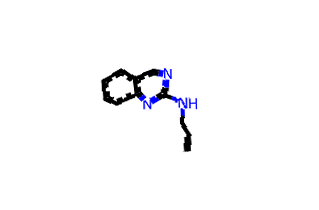 C=CCNc1ncc2ccccc2n1